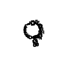 C[C@H]1Nc2ncnc3cc(c(N4CCS(=O)(=O)CC4)cc23)OCCCCCCCCN2CCC(CC2)C(F)(F)c2cccc1c2